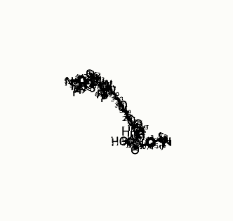 Cc1ncsc1-c1ccc(CNC(=O)[C@@H]2C[C@@H](O)CN2C(=O)[C@@H](NC(=O)COCCCOCCCCCOc2ncc(N3C(=S)N(c4ccc(C#N)c(C(F)(F)F)c4F)C(=O)C3(C)C)cc2C(F)(F)F)C(C)(C)C)cc1